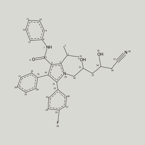 CC(C)c1c(C(=O)Nc2ccccc2)c(-c2ccccc2)c(-c2ccc(F)cc2)n1CC(O)CC(O)CC#N